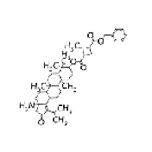 CC(C)C1=C2C3CCC4C(C)(CCC5C(C)(C)C(OC(=O)C6CC(C(=O)OCc7ccccc7)C6C)CCC54C)C3CCC2(N)CC1=O